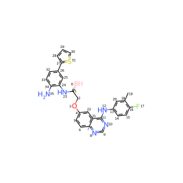 B=C(COc1ccc2ncnc(Nc3ccc(F)c(C)c3)c2c1)Nc1cc(-c2cccs2)ccc1N